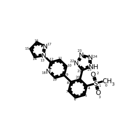 CS(=O)(=O)c1cccc(-c2ccc(-n3cccn3)nc2)c1-c1nnn[nH]1